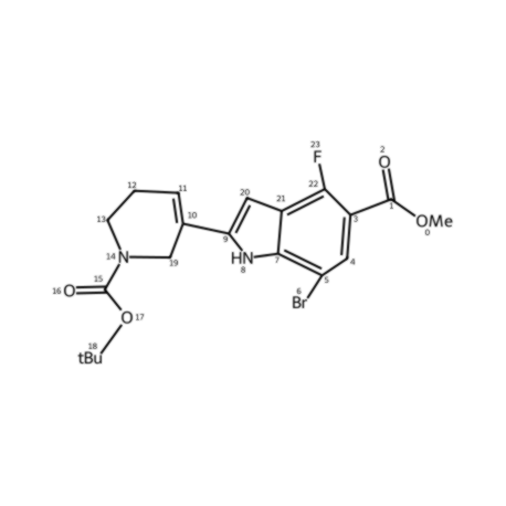 COC(=O)c1cc(Br)c2[nH]c(C3=CCCN(C(=O)OC(C)(C)C)C3)cc2c1F